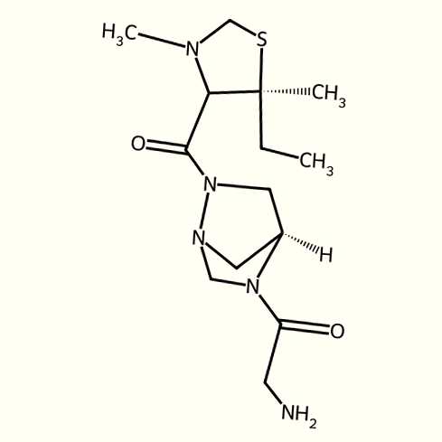 CC[C@]1(C)SCN(C)C1C(=O)N1C[C@@H]2CN1CN2C(=O)CN